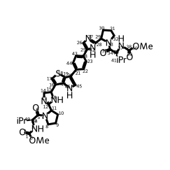 COC(=O)N[C@H](C(=O)N1CCCC1C1=NCC(c2csc3c(-c4ccc(-c5cnc(C6CCCN6C(=O)[C@@H](NC(=O)OC)C(C)C)[nH]5)cc4)c[nH]c23)N1)C(C)C